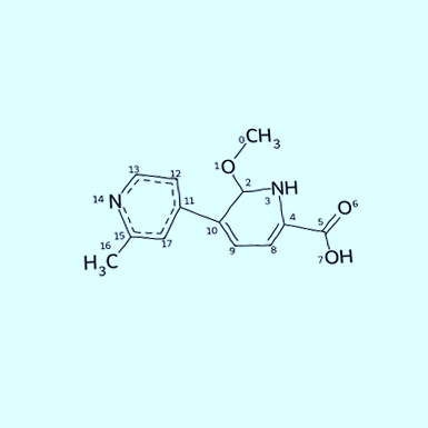 COC1NC(C(=O)O)=CC=C1c1ccnc(C)c1